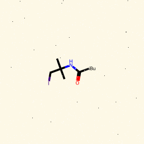 CCC(C)C(=O)NC(C)(C)CI